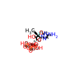 CC#CC1(F)[C@@H](O)[C@@H](COP(=O)(O)OP(=O)(O)OP(=O)(O)O)O[C@H]1n1ncc(N)nc1=O